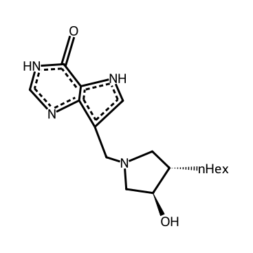 CCCCCC[C@H]1CN(Cc2c[nH]c3c(=O)[nH]cnc23)C[C@@H]1O